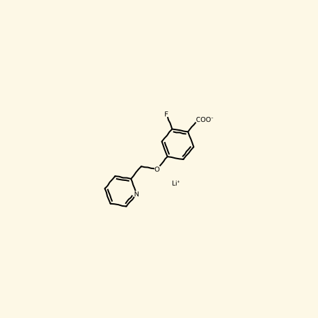 O=C([O-])c1ccc(OCc2ccccn2)cc1F.[Li+]